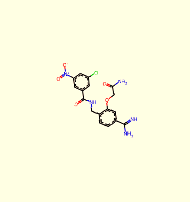 N=C(N)c1ccc(CNC(=O)c2cc(Cl)cc([N+](=O)[O-])c2)c(OCC(N)=O)c1